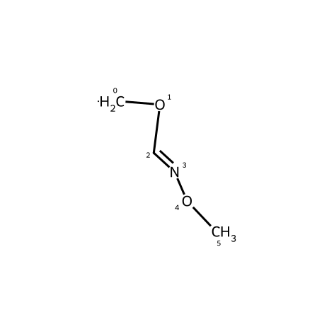 [CH2]OC=NOC